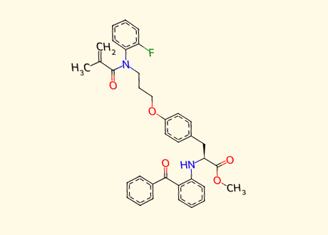 C=C(C)C(=O)N(CCCOc1ccc(C[C@H](Nc2ccccc2C(=O)c2ccccc2)C(=O)OC)cc1)c1ccccc1F